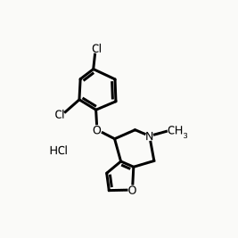 CN1Cc2occc2C(Oc2ccc(Cl)cc2Cl)C1.Cl